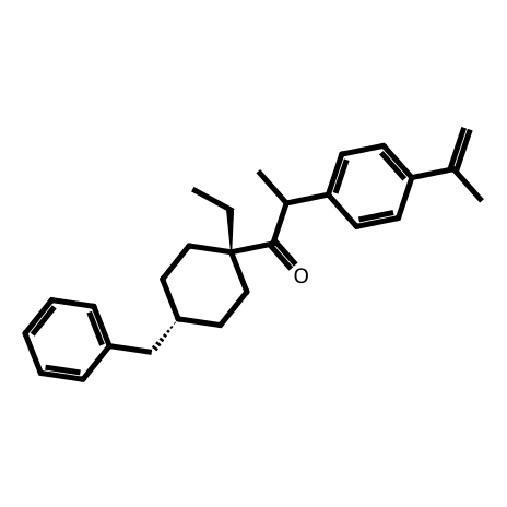 C=C(C)c1ccc(C(C)C(=O)[C@]2(CC)CC[C@H](Cc3ccccc3)CC2)cc1